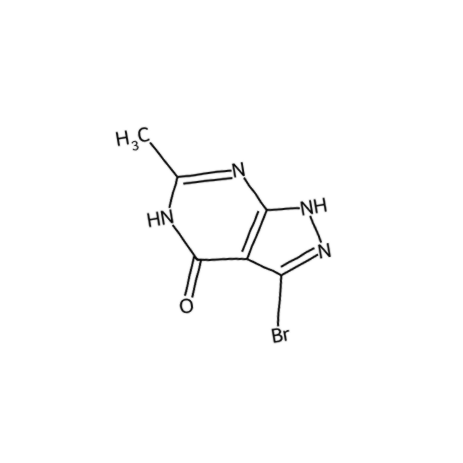 Cc1nc2[nH]nc(Br)c2c(=O)[nH]1